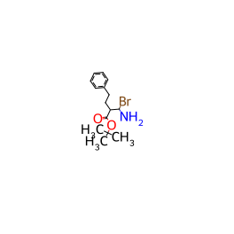 CC(C)(C)OC(=O)C(CCc1ccccc1)C(N)Br